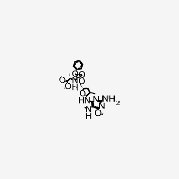 CNc1c(N[C@@H]2O[C@H](COP(=O)(N[C@@H](C)C(=O)OC)Oc3ccccc3)CC2C)nc(N)nc1OC